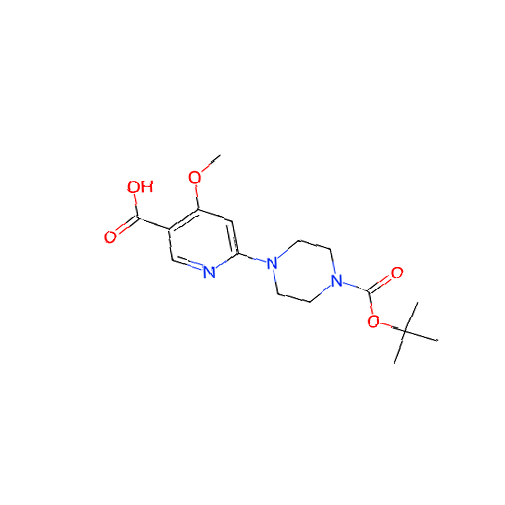 COc1cc(N2CCN(C(=O)OC(C)(C)C)CC2)ncc1C(=O)O